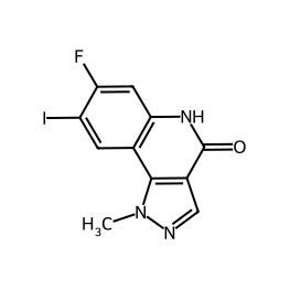 Cn1ncc2c(=O)[nH]c3cc(F)c(I)cc3c21